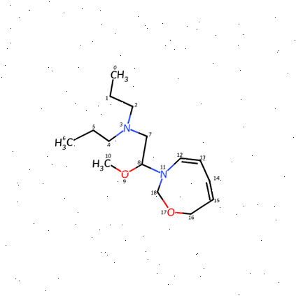 CCCN(CCC)CC(OC)N1/C=C\C=C/COC1